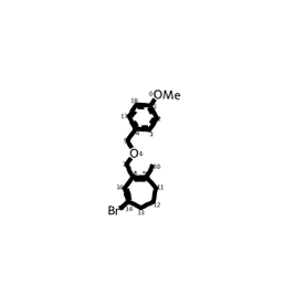 COc1ccc(COCC2=C(C)CCCC(Br)=C2)cc1